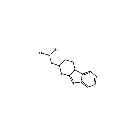 CCN(CC)CC1CCn2c(nc3ccccc32)S1